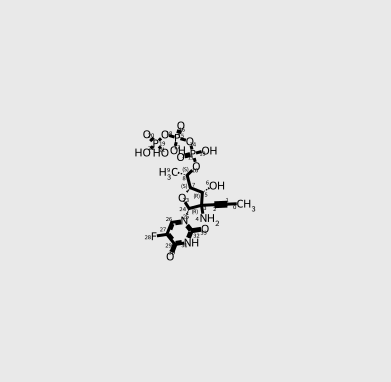 CC#CC1(N)[C@@H](O)[C@@H]([C@H](C)OP(=O)(O)OP(=O)(O)OP(=O)(O)O)O[C@H]1n1cc(F)c(=O)[nH]c1=O